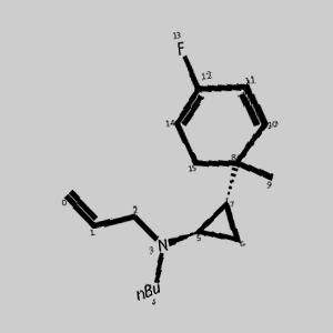 C=CCN(CCCC)[C@@H]1C[C@H]1C1(C)C=CC(F)=CC1